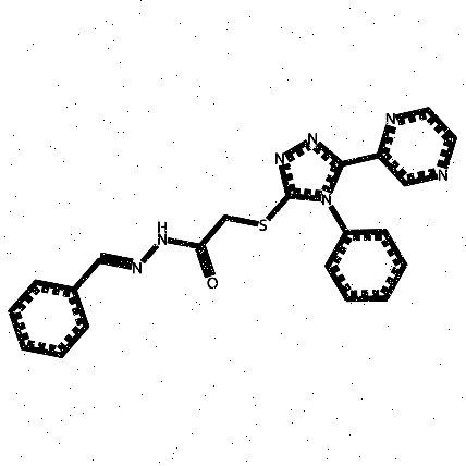 O=C(CSc1nnc(-c2cnccn2)n1-c1ccccc1)N/N=C/c1ccccc1